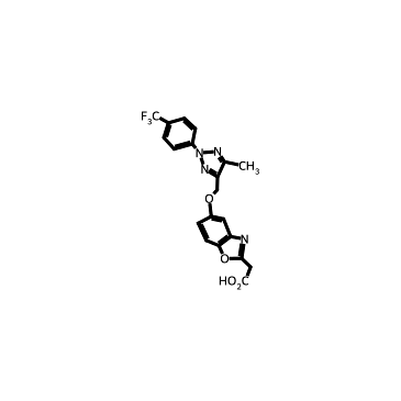 Cc1nn(-c2ccc(C(F)(F)F)cc2)nc1COc1ccc2oc(CC(=O)O)nc2c1